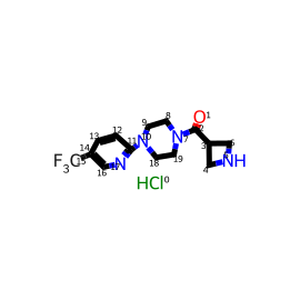 Cl.O=C(C1CNC1)N1CCN(c2ccc(C(F)(F)F)cn2)CC1